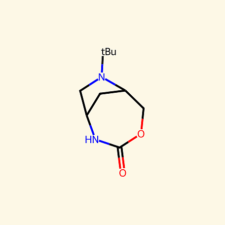 CC(C)(C)N1CC2CC1COC(=O)N2